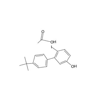 CC(=O)O.CC(C)(C)c1ccc(-c2cc(O)ccc2I)cc1